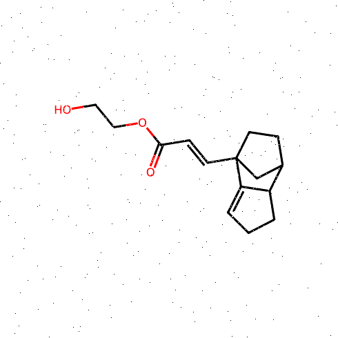 O=C(C=CC12CCC(C1)C1CCC=C12)OCCO